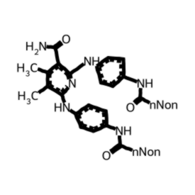 CCCCCCCCCC(=O)Nc1ccc(Nc2nc(Nc3ccc(NC(=O)CCCCCCCCC)cc3)c(C(N)=O)c(C)c2C)cc1